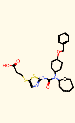 O=C(O)CCSc1cnc(NC(=O)N(C2CCCCCC2)C2CCC(OCc3ccccc3)CC2)s1